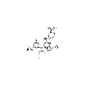 Cc1cc(N(C(=O)OC(C)(C)C)c2cc(N[C@H]3CCCN(C(=O)O)C3)nc3c(C4CC4)cnn23)cc(C(F)(F)F)c1